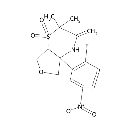 C=C1NC2(c3cc([N+](=O)[O-])ccc3F)COCC2S(=O)(=O)C1(C)C